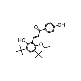 CCOc1c(C(C)(C)C)cc(C(C)(C)C)c(O)c1/C=C/C(=O)c1ccc(O)cc1